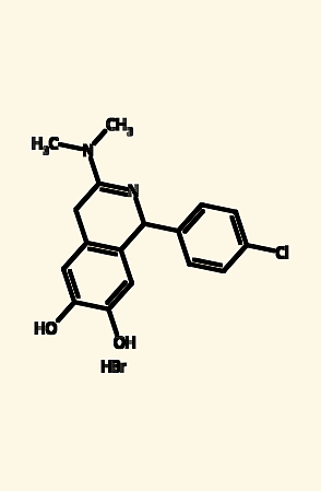 Br.CN(C)C1=NC(c2ccc(Cl)cc2)c2cc(O)c(O)cc2C1